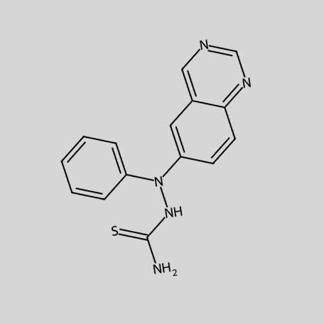 NC(=S)NN(c1ccccc1)c1ccc2ncncc2c1